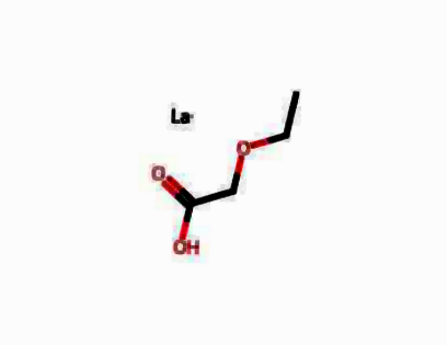 CCOCC(=O)O.[La]